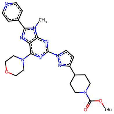 Cn1c(-c2ccncc2)nc2c(N3CCOCC3)nc(-n3ccc(C4CCN(C(=O)OC(C)(C)C)CC4)n3)nc21